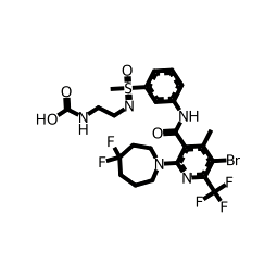 Cc1c(Br)c(C(F)(F)F)nc(N2CCCC(F)(F)CC2)c1C(=O)Nc1cccc(S(C)(=O)=NCCNC(=O)O)c1